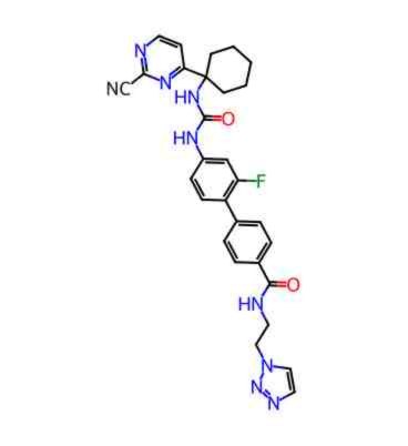 N#Cc1nccc(C2(NC(=O)Nc3ccc(-c4ccc(C(=O)NCCn5ccnn5)cc4)c(F)c3)CCCCC2)n1